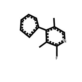 Cc1cnc(F)c(C)c1-c1ccccc1